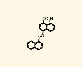 O=C(O)c1ccc(N=Nc2cccc3ccccc23)c2ccccc12